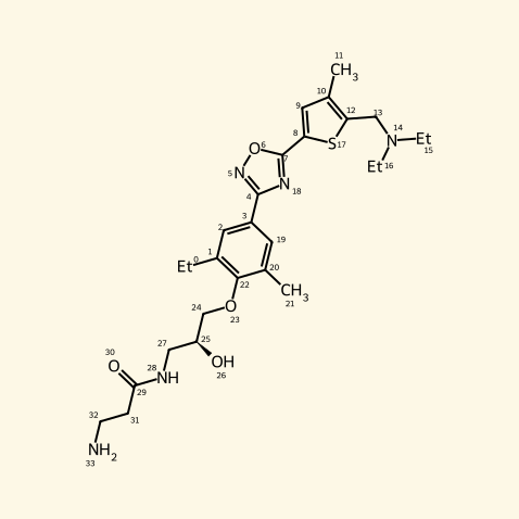 CCc1cc(-c2noc(-c3cc(C)c(CN(CC)CC)s3)n2)cc(C)c1OC[C@@H](O)CNC(=O)CCN